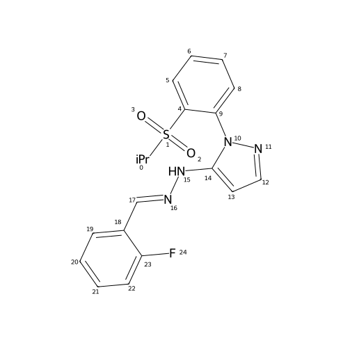 CC(C)S(=O)(=O)c1ccccc1-n1nccc1NN=Cc1ccccc1F